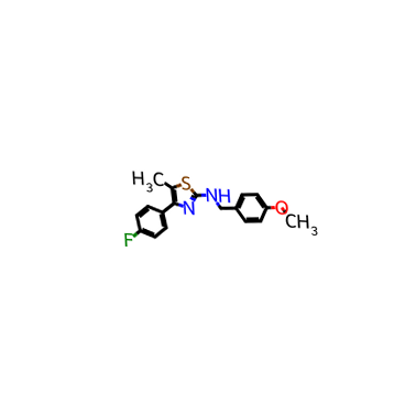 COc1ccc(CNc2nc(-c3ccc(F)cc3)c(C)s2)cc1